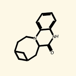 O=C1Nc2ccccc2N2CCC3CC(C3)CC12